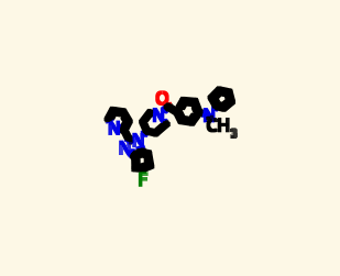 CN(c1ccccc1)c1ccc(C(=O)N2CCC(n3c(-c4ccccn4)nc4cc(F)ccc43)CC2)cc1